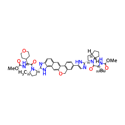 CC[C@H](C)[C@H](NC(=O)OC)C(=O)N1[C@H](c2ncc(-c3ccc4c(c3)COc3cc5c(ccc6nc([C@@H]7CC[C@H](C)N7C(=O)[C@@H](NC(=O)OC)C7CCOCC7)[nH]c65)cc3-4)[nH]2)C[C@@H]2CCC[C@@H]21